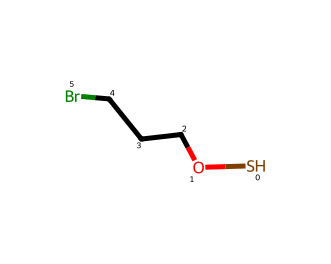 SOCCCBr